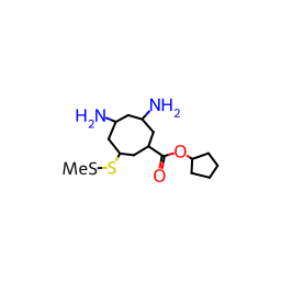 CSSC1CC(N)CC(N)CC(C(=O)OC2CCCC2)C1